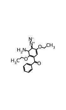 CCOC1=CC(C(=O)c2ccccc2)=C(OCC)C(N)C1=[N+]=[N-]